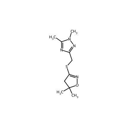 Cc1nc(CSC2=NOC(C)(C)C2)nn1C